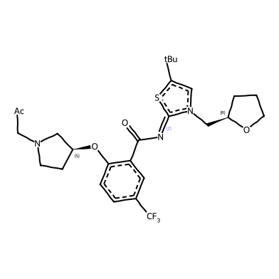 CC(=O)CN1CC[C@H](Oc2ccc(C(F)(F)F)cc2C(=O)/N=c2\sc(C(C)(C)C)cn2C[C@H]2CCCO2)C1